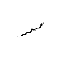 CCCCCCSCCC#N